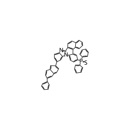 S=P(c1ccccc1)(c1ccccc1)c1ccc2c(c1)c1c3ccccc3ccc1c1nc3ccc(-c4ccc5cc(-c6ccccc6)ccc5c4)cc3n21